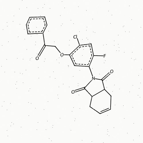 O=C(COc1cc(N2C(=O)C3CC=CCC3C2=O)c(F)cc1Cl)c1ccccc1